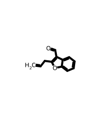 C=CCc1oc2ccccc2c1C=O